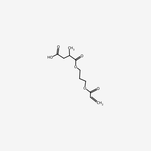 C=CC(=O)OCCCOC(=O)C(C)CC(=O)O